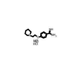 Cl.Cl.Cl.N=C(N)c1ccc(OCCN2CCCCC2)cc1